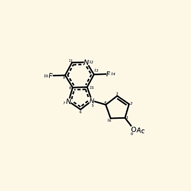 CC(=O)OC1C=CC(n2cnc3c(F)cnc(F)c32)C1